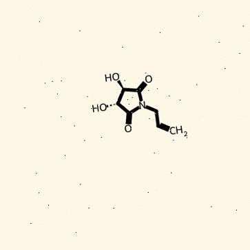 C=CCN1C(=O)[C@H](O)[C@@H](O)C1=O